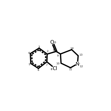 O=C(c1ccccc1Cl)C1CC[N]CC1